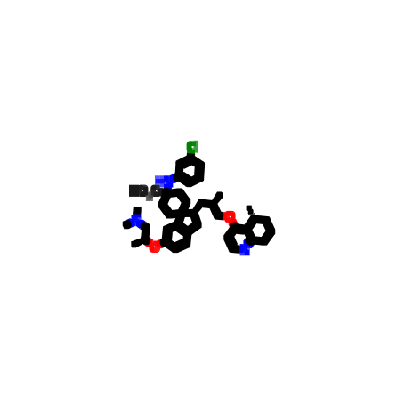 C[C@@H](COc1ccnc2c1[C@H](C)CCC2)C[C@H]1Cc2ccc(O[C@@H](C)CN(C)C)cc2C12CCC(Nc1cccc(Cl)c1)(C(=O)O)CC2